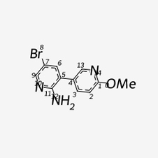 COc1ccc(-c2cc(Br)cnc2N)cn1